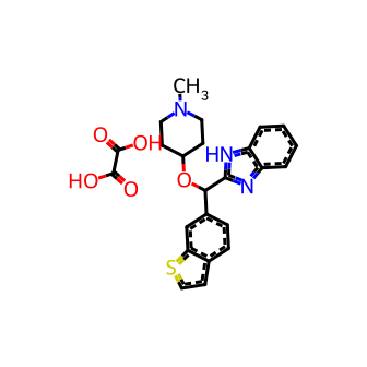 CN1CCC(OC(c2ccc3ccsc3c2)c2nc3ccccc3[nH]2)CC1.O=C(O)C(=O)O